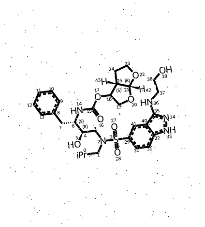 CC(C)CN(C[C@@H](O)[C@H](Cc1ccccc1)NC(=O)OC1CO[C@H]2OCC[C@@H]12)S(=O)(=O)c1ccc2[nH]nc(NCCO)c2c1